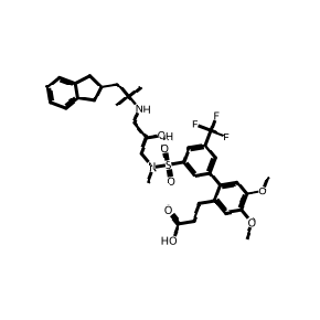 COc1cc(CCC(=O)O)c(-c2cc(C(F)(F)F)cc(S(=O)(=O)N(C)CC(O)CNC(C)(C)CC3Cc4ccccc4C3)c2)cc1OC